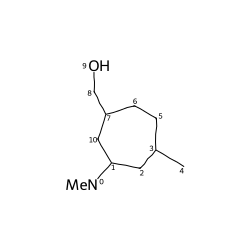 CNC1CC(C)CCC(CO)C1